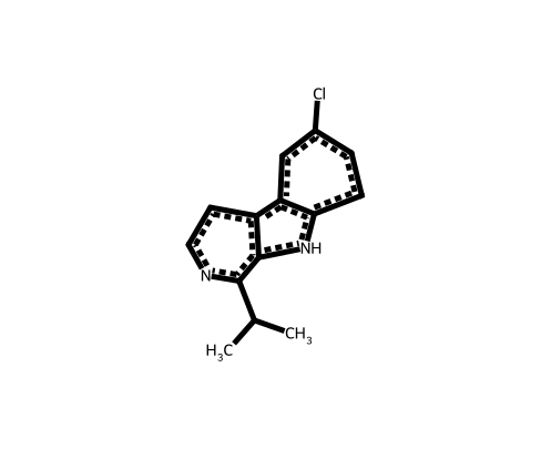 CC(C)c1nccc2c1[nH]c1ccc(Cl)cc12